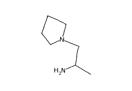 CC(N)CN1CCCC1